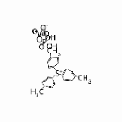 Cc1ccc([S+](c2ccc(C)cc2)c2ccc(C)cc2)cc1.O=P(O)(O)[O][W](=[O])(=[O])[O-]